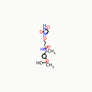 C#C[C@@H](C)Oc1cccc([C@@H](C)N[S+]([O-])CCCOCn2ccc(=O)[nH]c2=O)c1